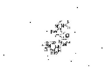 Cc1nc2c(F)cc(-c3nc(N[C@@H]4CCN(S(C)(=O)=O)C[C@H]4O)ncc3Cl)cc2n1C1CC1